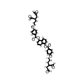 O=C(Oc1cccc2c(OC(=O)c3ccc(OCCCC(CC4CO4)C4CO4)cc3)cccc12)c1ccc(OCCCC(CC2CO2)C2CO2)cc1